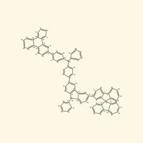 c1ccc(N(c2ccc(-c3ccc4c(c3)c3cc(-c5ccc6c(c5)C5(c7ccccc7-c7ccccc75)c5ccccc5-6)ccc3n4-c3ccccc3)cc2)c2ccc(-c3cnc4c5ccccc5c5ccccc5c4n3)cc2)cc1